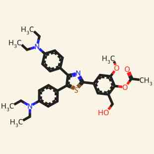 CCN(CC)c1ccc(-c2nc(-c3cc(CO)c(OC(C)=O)c(OC)c3)sc2-c2ccc(N(CC)CC)cc2)cc1